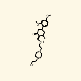 COc1ccc(C2CC(=O)C(=CNCCN3CCN(CCO)CC3)C(=O)C2)c(OC)c1